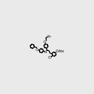 COc1ccc(Cl)c(CCC(=Nc2ccc(OCc3ccccc3)cc2)c2ccc(OCCC(C)C)cc2)c1